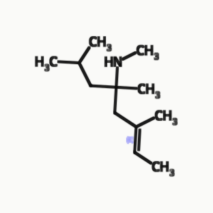 C/C=C(\C)CC(C)(CC(C)C)NC